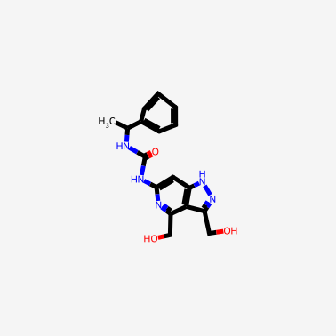 CC(NC(=O)Nc1cc2[nH]nc(CO)c2c(CO)n1)c1ccccc1